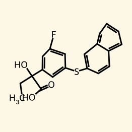 CCC(O)(C(=O)O)c1cc(F)cc(Sc2ccc3ccccc3c2)c1